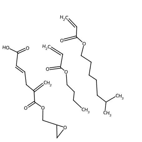 C=C(CC=CC(=O)O)C(=O)OCC1CO1.C=CC(=O)OCCCC.C=CC(=O)OCCCCCC(C)C